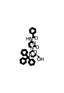 O=C(Nc1ccn([C@H]2CN(C(c3ccccc3)(c3ccccc3)c3ccccc3)C[C@@H](CO)O2)c(=O)n1)c1ccccc1